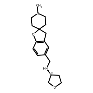 CN1CCC2(CC1)Cc1cc(CN[C@H]3CCOC3)ccc1O2